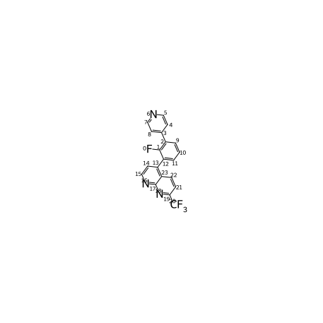 Fc1c(-c2ccncc2)cccc1-c1ccnc2nc(C(F)(F)F)ccc12